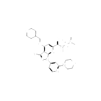 CC(C)c1nn(-c2ccnc(N3CCOCC3)c2)c2nc(C(=O)NS(=O)(=O)N(C)C)cc(OCC3CCOCC3)c12